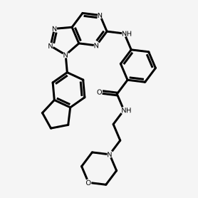 O=C(NCCN1CCOCC1)c1cccc(Nc2ncc3nnn(-c4ccc5c(c4)CCC5)c3n2)c1